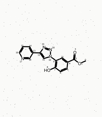 COC(=O)c1ccc(O)c(-n2cc(-c3cccnc3)nn2)c1